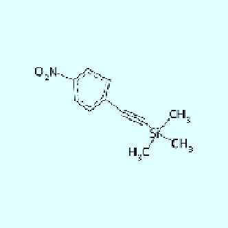 C[Si](C)(C)C#Cc1ccc([N+](=O)[O-])cc1